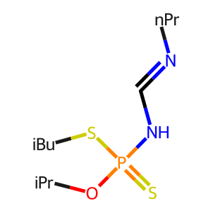 CCCN=CNP(=S)(OC(C)C)SC(C)CC